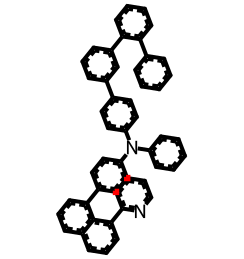 c1ccc(-c2ccccc2-c2cccc(-c3ccc(N(c4ccccc4)c4ccc(-c5cccc6cccc(-c7ccccn7)c56)cc4)cc3)c2)cc1